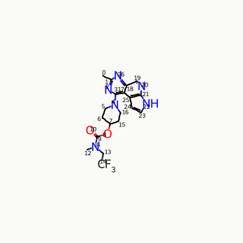 Cc1nc(N2CCC(OC(=O)N(C)CC(F)(F)F)CC2)c2c(cnc3[nH]ccc32)n1